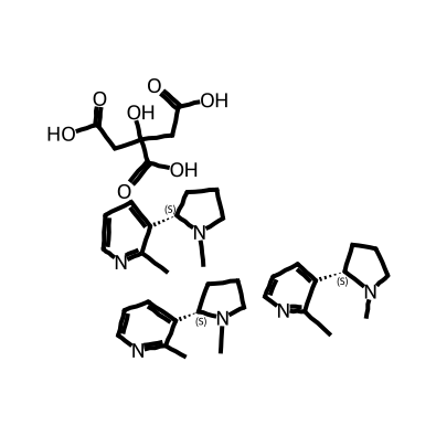 Cc1ncccc1[C@@H]1CCCN1C.Cc1ncccc1[C@@H]1CCCN1C.Cc1ncccc1[C@@H]1CCCN1C.O=C(O)CC(O)(CC(=O)O)C(=O)O